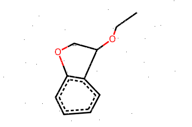 CCOC1[C]Oc2ccccc21